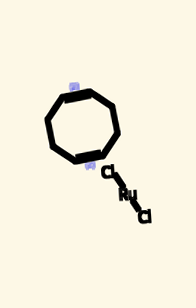 C1=C\CC/C=C\CC/1.[Cl][Ru][Cl]